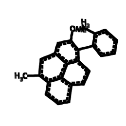 COc1cc2cc(C)c3cccc4ccc(c1-c1ccccc1N)c2c43